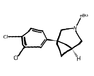 CCCCN1C[C@H]2C[C@]2(c2ccc(Cl)c(Cl)c2)C1